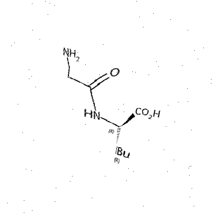 CC[C@@H](C)[C@@H](NC(=O)CN)C(=O)O